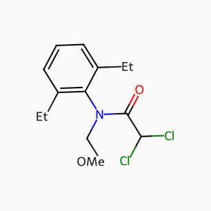 CCc1cccc(CC)c1N(COC)C(=O)C(Cl)Cl